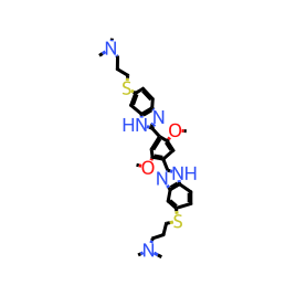 COc1cc(-c2nc3ccc(SCCCN(C)C)cc3[nH]2)c(OC)cc1-c1nc2cc(SCCCN(C)C)ccc2[nH]1